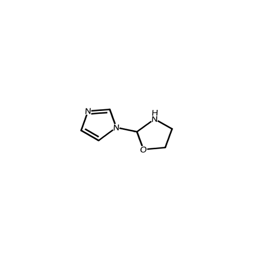 c1cn([C]2NCCO2)cn1